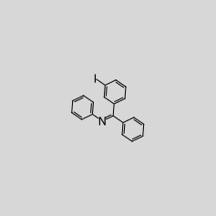 Ic1cccc(/C(=N\c2ccccc2)c2ccccc2)c1